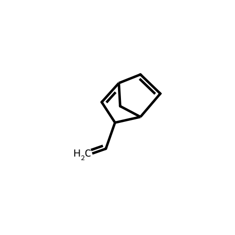 C=CC1C=C2C=CC1C2